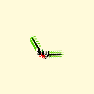 C[Si](C)(CCC(F)(F)C(F)(F)C(F)(F)C(F)(F)C(F)(F)C(F)(F)F)OC(O[Si](C)(C)CCC(F)(F)C(F)(F)C(F)(F)C(F)(F)C(F)(F)C(F)(F)F)[SiH2]Cl